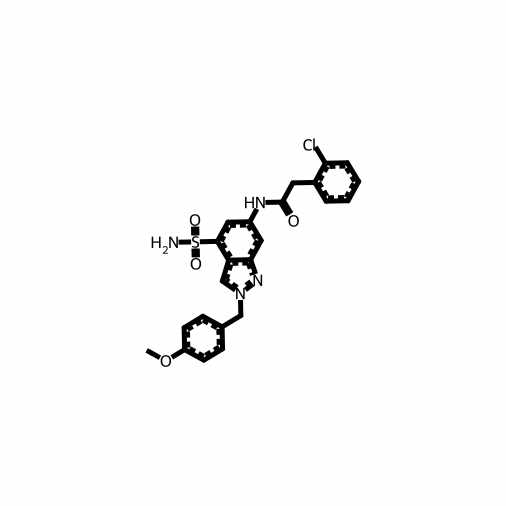 COc1ccc(Cn2cc3c(S(N)(=O)=O)cc(NC(=O)Cc4ccccc4Cl)cc3n2)cc1